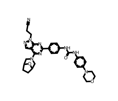 N#CCCn1ncc2c(N3CC4CCC(C3)O4)nc(-c3ccc(NC(=O)Nc4ccc(N5CCOCC5)cc4)cc3)nc21